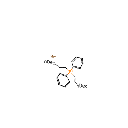 CCCCCCCCCCCC[P+](CCCCCCCCCCCC)(c1ccccc1)c1ccccc1.[Br-]